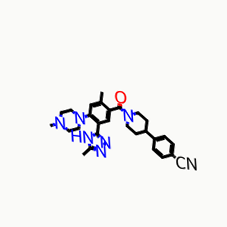 Cc1nnc(-c2cc(C(=O)N3CCC(c4ccc(C#N)cc4)CC3)c(C)cc2N2CCN(C)CC2)[nH]1